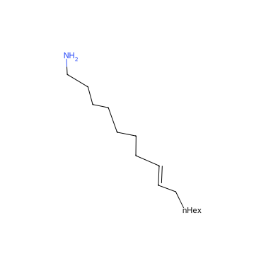 CCCCCCC/C=C/CCCCCCCN